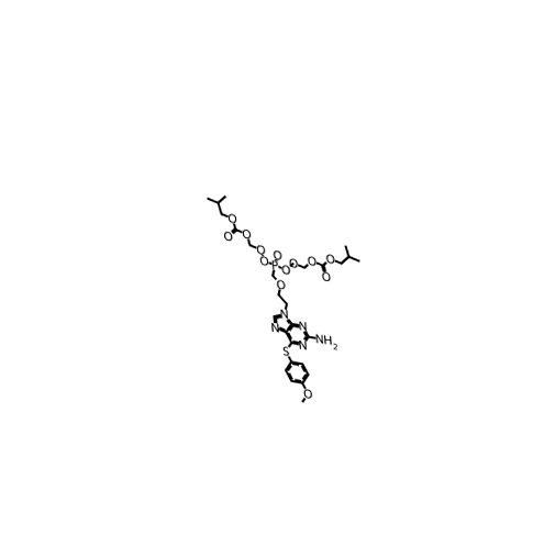 COc1ccc(Sc2nc(N)nc3c2ncn3CCOCP(=O)(OOCOC(=O)OCC(C)C)OOCOC(=O)OCC(C)C)cc1